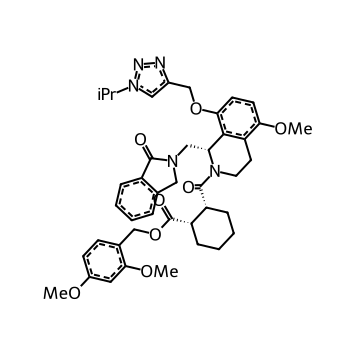 COc1ccc(COC(=O)[C@H]2CCCC[C@H]2C(=O)N2CCc3c(OC)ccc(OCc4cn(C(C)C)nn4)c3[C@H]2CN2Cc3ccccc3C2=O)c(OC)c1